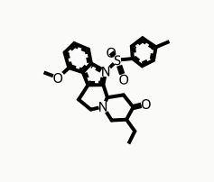 CCC1CN2CCc3c(n(S(=O)(=O)c4ccc(C)cc4)c4cccc(OC)c34)C2CC1=O